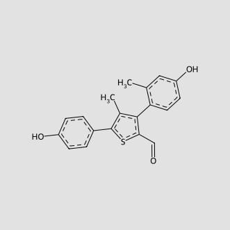 Cc1cc(O)ccc1-c1c(C=O)sc(-c2ccc(O)cc2)c1C